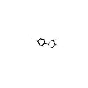 COc1ccc(C2OCC(C)C(C)O2)cc1